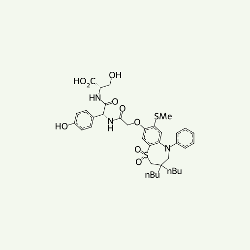 CCCCC1(CCCC)CN(c2ccccc2)c2cc(SC)c(OCC(=O)N[C@@H](C(=O)N[C@@H](CO)C(=O)O)c3ccc(O)cc3)cc2S(=O)(=O)C1